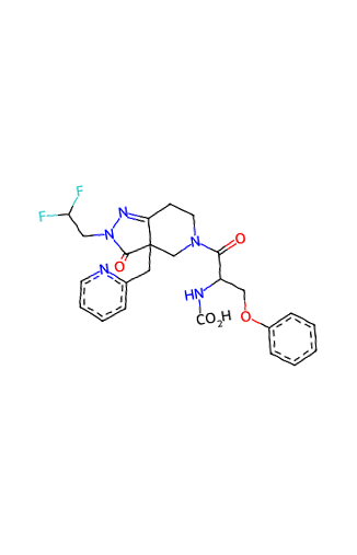 O=C(O)NC(COc1ccccc1)C(=O)N1CCC2=NN(CC(F)F)C(=O)C2(Cc2ccccn2)C1